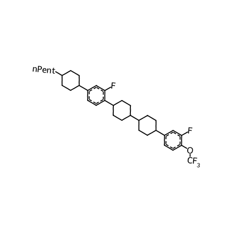 CCCCCC1CCC(c2ccc(C3CCC(C4CCC(c5ccc(OC(F)(F)F)c(F)c5)CC4)CC3)c(F)c2)CC1